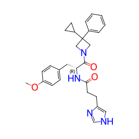 COc1ccc(C[C@@H](NC(=O)CCc2c[nH]cn2)C(=O)N2CC(c3ccccc3)(C3CC3)C2)cc1